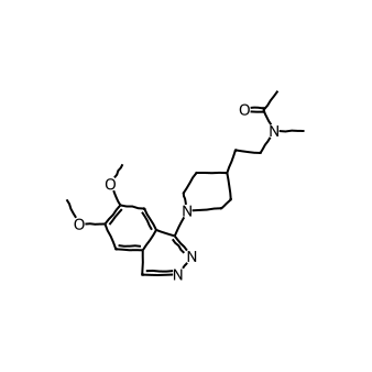 COc1cc2cnnc(N3CCC(CCN(C)C(C)=O)CC3)c2cc1OC